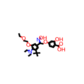 CCOCCOc1cc(C(COc2ccc(C(=O)O)c(O)c2)=NO)cc(C(C)(C)C)c1N(CC)CC